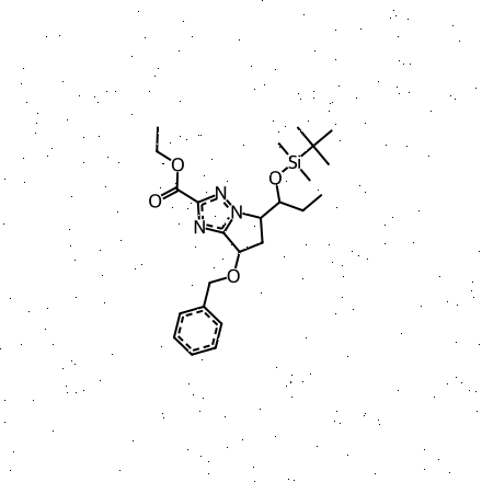 CCOC(=O)c1nc2n(n1)C(C(CC)O[Si](C)(C)C(C)(C)C)CC2OCc1ccccc1